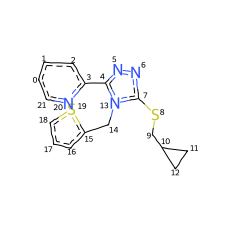 c1ccc(-c2nnc(SCC3CC3)n2Cc2cccs2)nc1